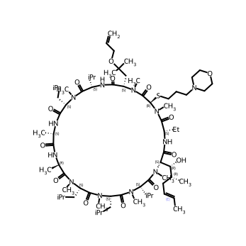 C=CCOC(C)(C)C[C@H]1C(=O)N[C@@H](C(C)C)C(=O)N(C)[C@@H](CC(C)C)C(=O)N[C@@H](C)C(=O)N[C@H](C)C(=O)N(C)[C@@H](CC(C)C)C(=O)N(C)[C@@H](CC(C)C)C(=O)N(C)[C@@H](C(C)C)C(=O)N(C)[C@@H]([C@H](O)[C@H](C)C/C=C/C)C(=O)N[C@@H](CC)C(=O)N(C)[C@H](SCCCN2CCOCC2)C(=O)N1C